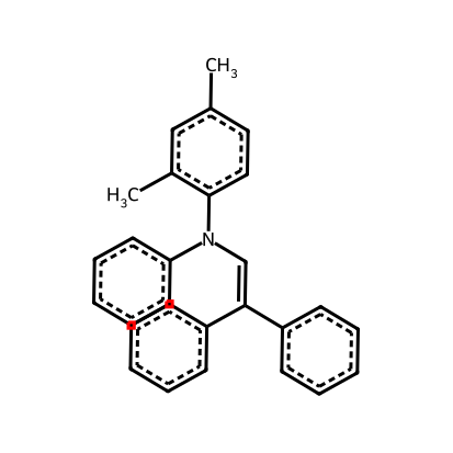 Cc1ccc(N(C=C(c2ccccc2)c2ccccc2)c2ccccc2)c(C)c1